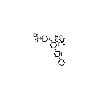 CCC(=O)N1CCC(Oc2ccc(-c3ccc(-c4ccccc4)nc3)cc2)CC1.O=C(O)C(F)(F)F